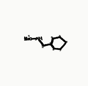 CONCC1CCCCC1